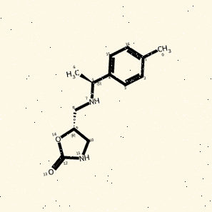 Cc1ccc([C@H](C)NC[C@@H]2CNC(=O)O2)cc1